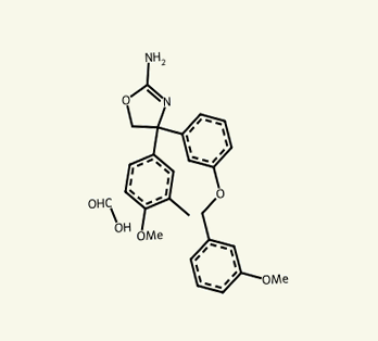 COc1cccc(COc2cccc(C3(c4ccc(OC)c(C)c4)COC(N)=N3)c2)c1.O=CO